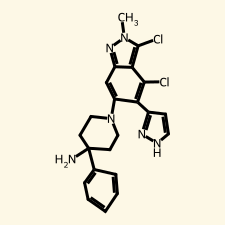 Cn1nc2cc(N3CCC(N)(c4ccccc4)CC3)c(-c3cc[nH]n3)c(Cl)c2c1Cl